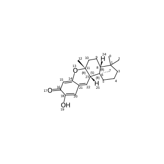 CC1(C)CCC[C@]2(C)[C@@H]1CC[C@@]1(C)OC3=CC(=O)C(O)=CC3=C[C@@H]21